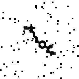 CC(C)(C)OC(=O)[C@H]1CC[C@@H](OCCCO[Si](C)(C)C(C)(C)C)CC1